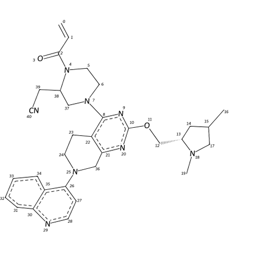 C=CC(=O)N1CCN(c2nc(OC[C@@H]3CC(C)CN3C)nc3c2CCN(c2ccnc4ccccc24)C3)CC1CC#N